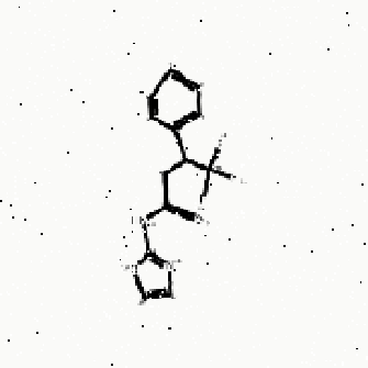 O=C(CC(c1ccccc1)C(F)(F)F)Nc1ncco1